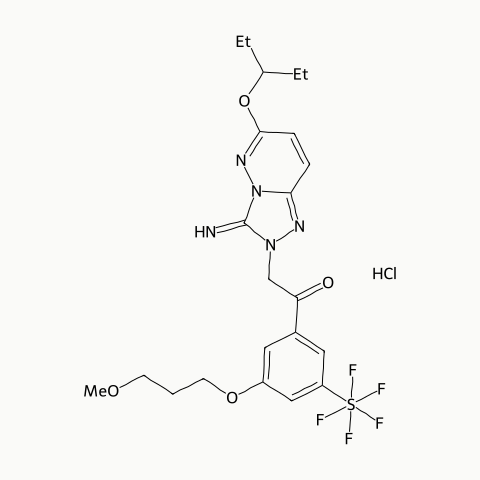 CCC(CC)Oc1ccc2nn(CC(=O)c3cc(OCCCOC)cc(S(F)(F)(F)(F)F)c3)c(=N)n2n1.Cl